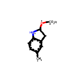 Cc1ccc2c(c1)CC(OC(=O)O)N2